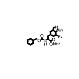 CCc1cc(/C=C(/NC(=O)OCc2ccccc2)C(=O)OC)cc2cn[nH]c12